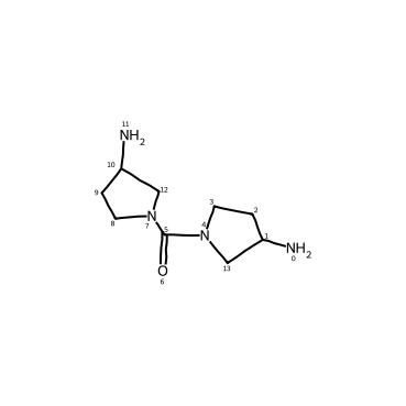 NC1CCN(C(=O)N2CCC(N)C2)C1